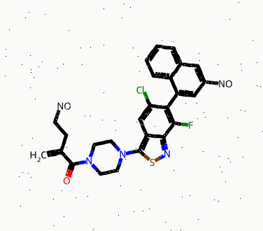 C=C(CCN=O)C(=O)N1CCN(c2snc3c(F)c(-c4cc(N=O)cc5ccccc45)c(Cl)cc23)CC1